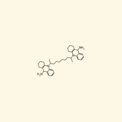 NC1C2=C(CCCC2)N(C(I)CCCCCCC(I)N2C3=C(CCCC3)C(N)c3ccccc32)c2ccccc21